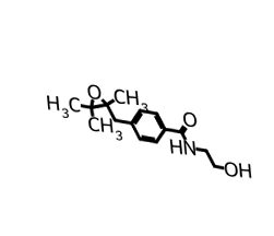 CC1(C)OC1(C)Cc1ccc(C(=O)NCCO)cc1